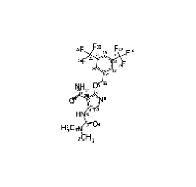 CN(C)C(=O)Nc1snc(OCc2cc(C(F)(F)F)cc(C(F)(F)F)c2)c1C(N)=O